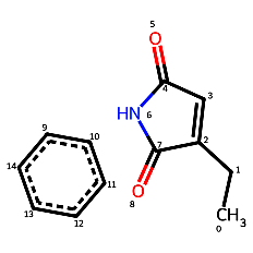 CCC1=CC(=O)NC1=O.c1ccccc1